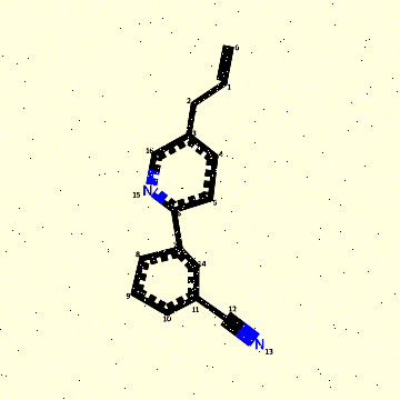 C=CCc1ccc(-c2cccc(C#N)c2)nc1